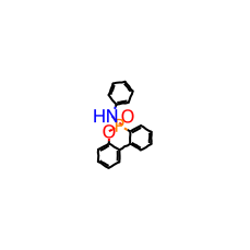 O=P1(Nc2ccccc2)Oc2ccccc2-c2ccccc21